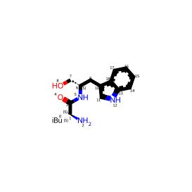 CC[C@H](C)[C@H](N)C(=O)N[C@H](CO)Cc1c[nH]c2ccccc12